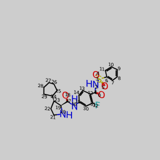 O=C(NS(=O)(=O)c1ccccc1)c1ccc(NC(=O)[C@H]2NCC[C@H]2C2CCCCC2)cc1F